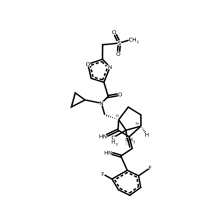 CC1(C)[C@H]2CC[C@]1(CN(C(=O)c1coc(CS(C)(=O)=O)n1)C1CC1)C(=N)/C2=C\C(=N)c1c(F)cccc1F